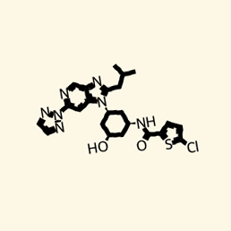 CC(C)Cc1nc2cnc(-n3nccn3)cc2n1[C@H]1C[C@H](O)C[C@@H](NC(=O)c2ccc(Cl)s2)C1